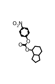 O=C(Oc1ccc([N+](=O)[O-])cc1)OC1CCCC2CCCC21